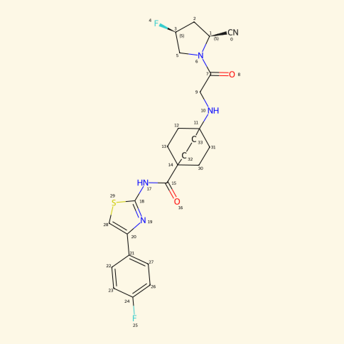 N#C[C@@H]1C[C@H](F)CN1C(=O)CNC12CCC(C(=O)Nc3nc(-c4ccc(F)cc4)cs3)(CC1)CC2